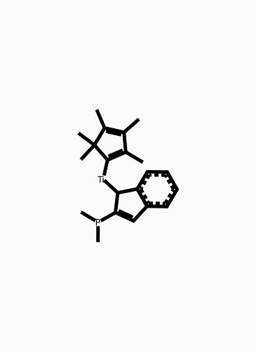 CC1=C(C)C(C)(C)[C]([Ti][CH]2C(P(C)C)=Cc3ccccc32)=C1C